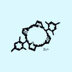 Cc1cc(C)c(-c2c3nc(cc4ccc([nH]4)c(-c4c(C)cc(C)cc4C)c4nc(cc5ccc2[nH]5)C=C4)C=C3)c(C)c1.[Zn+2]